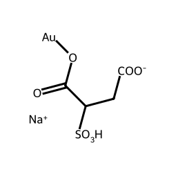 O=C([O-])CC(C(=O)[O][Au])S(=O)(=O)O.[Na+]